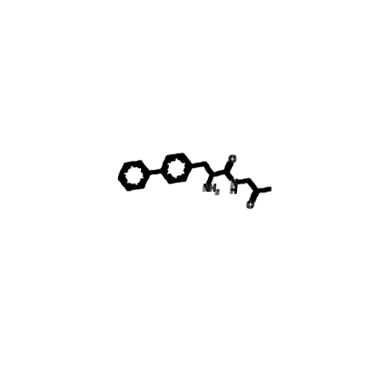 CC(=O)CNC(=O)C(N)Cc1ccc(-c2ccccc2)cc1